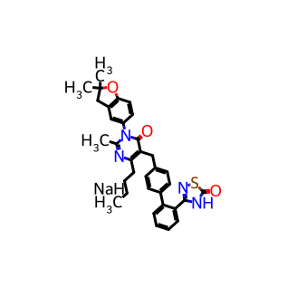 CCCCc1nc(C)n(-c2ccc3c(c2)CC(C)(C)O3)c(=O)c1Cc1ccc(-c2ccccc2-c2nsc(=O)[nH]2)cc1.[NaH]